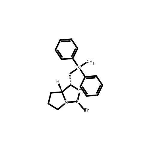 CC(C)P1O[C@@H](C[Si](C)(c2ccccc2)c2ccccc2)[C@H]2CCCN21